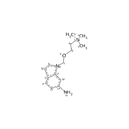 C[Si](C)(C)CCOCn1ccc2ccc(N)cc21